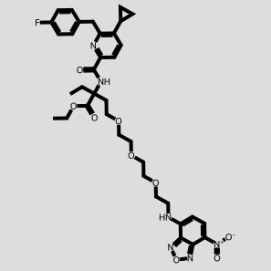 CCOC(=O)C(CC)(CCOCCOCCOCCNc1ccc([N+](=O)[O-])c2nonc12)NC(=O)c1ccc(C2CC2)c(Cc2ccc(F)cc2)n1